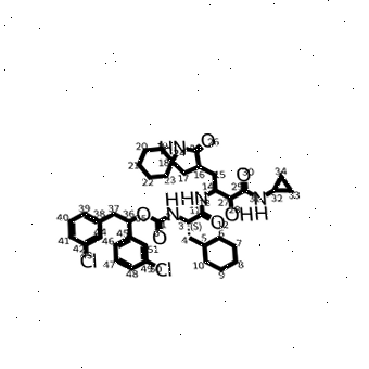 O=C(N[C@@H](CC1CCCCC1)C(=O)NC(CC1CC2(CCCCC2)NC1=O)C(O)C(=O)NC1CC1)OC(Cc1cccc(Cl)c1)c1cccc(Cl)c1